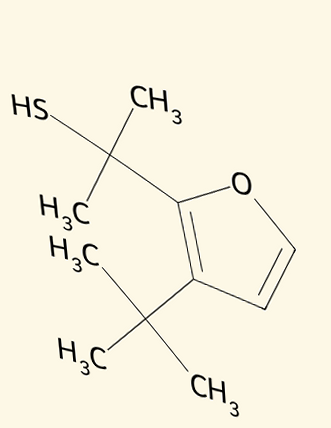 CC(C)(C)c1ccoc1C(C)(C)S